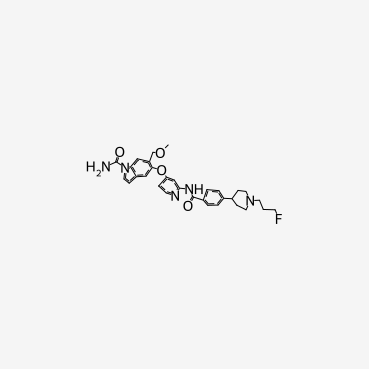 COCc1cc2c(ccn2C(N)=O)cc1Oc1ccnc(NC(=O)c2ccc(C3CCN(CCCF)CC3)cc2)c1